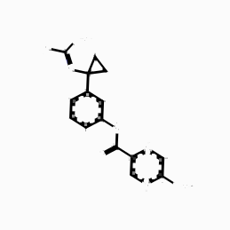 CO/C(N)=N\C1(c2cccc(NC(=O)c3cnc(OC)cn3)c2)CC1